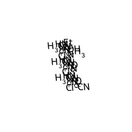 CCNC1=NC(O)N(c2ccc(CNc3nc(=O)n(-c4ccc(CNc5nc(=O)n(-c6cccc(C#N)c6)c6c7cc(Cl)ccc7n(C)c56)cn4)c4c5cc(Cl)ccc5n(C)c34)nc2C)c2c1n(C)c1ccc(Cl)cc21